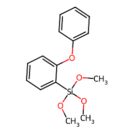 CO[Si](OC)(OC)c1ccccc1Oc1ccccc1